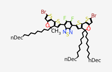 CCCCCCCCCCCCCCCCCCC1(C)Oc2cc(Br)sc2-c2sc(-c3c(F)c(F)c(-c4cc5c(s4)-c4sc(Br)cc4OC5(CCCCCCCCCCCCCCCCCC)CCCCCCCCCCCCCCCCCC)c4nsnc34)cc21